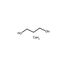 OCCCO.[CaH2]